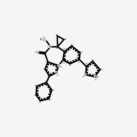 CN1C(=O)c2cc(-c3ccccc3)nn2-c2cc(-c3cc[nH]n3)ccc2C12CC2